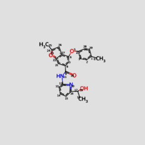 Cc1ccc(Oc2cc(C(=O)Nc3cccc(C(C)O)n3)cc3oc(C)cc23)cc1